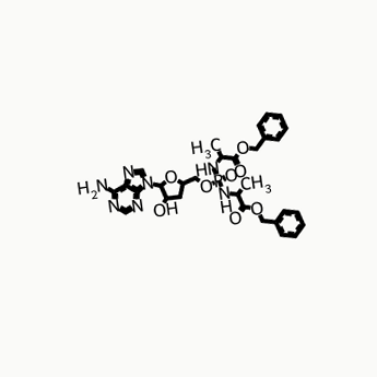 CC(NP(=O)(NC(C)C(=O)OCc1ccccc1)OCC1CC(O)C(n2cnc3c(N)ncnc32)O1)C(=O)OCc1ccccc1